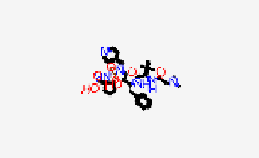 CN(C)CC(=O)N[C@H](C(=O)N[C@@H](Cc1ccccc1)[C@H](O)CN(Cc1ccncc1)S(=O)(=O)NC1(C(=O)O)CCCC1)C(C)(C)C